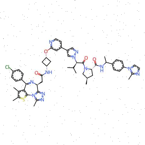 Cc1sc2c(c1C)C(c1ccc(Cl)cc1)=N[C@@H](CC(=O)N[C@H]1C[C@@H](Oc3cc(-c4cnn([C@@H](C(=O)N5C[C@H](C)C[C@H]5C(=O)NC(C)c5ccc(-n6ccnc6C)cc5)C(C)C)c4)ccn3)C1)c1nnc(C)n1-2